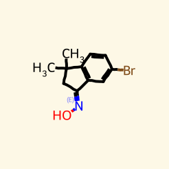 CC1(C)C/C(=N\O)c2cc(Br)ccc21